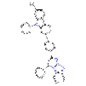 N#Cc1ccc2c3ccc(-c4ccc(-c5cc(-c6ccccc6)n6c(n5)nc5ccccc56)cc4)cc3n(-c3ccccc3)c2c1